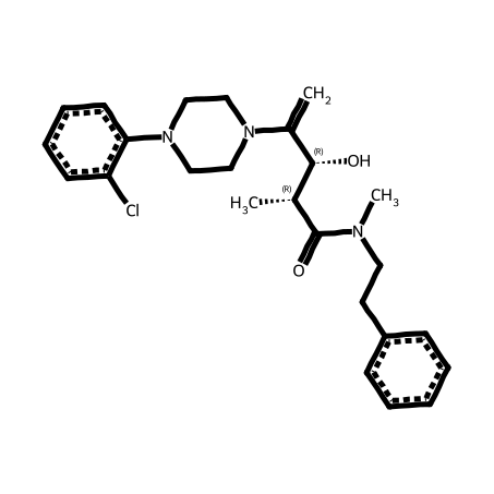 C=C([C@H](O)[C@@H](C)C(=O)N(C)CCc1ccccc1)N1CCN(c2ccccc2Cl)CC1